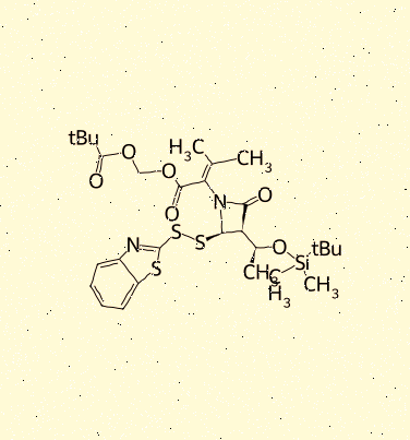 CC(C)=C(C(=O)OCOC(=O)C(C)(C)C)N1C(=O)[C@@H]([C@H](C)O[Si](C)(C)C(C)(C)C)[C@H]1SSc1nc2ccccc2s1